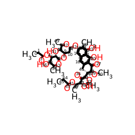 CCC(=O)OC1C[C@H](OC2C[C@H](Oc3cc4cc5c(c(O)c4c(O)c3C)C(=O)[C@@H](OC)[C@H]([C@H](OC)C(=O)[C@@H](O)[C@@H](C)OC(=O)CC)C5)OC(C)[C@H]2O)OC(C)[C@H]1O